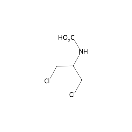 O=C(O)NC(CCl)CCl